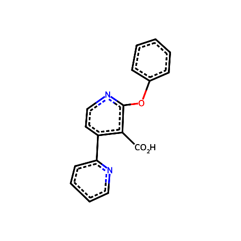 O=C(O)c1c(-c2ccccn2)ccnc1Oc1ccccc1